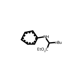 CCCCC(Nc1ccccc1)C(=O)OCC